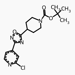 CC(C)(C)OC(=O)N1CCC(c2nc(-c3ccnc(Cl)c3)no2)CC1